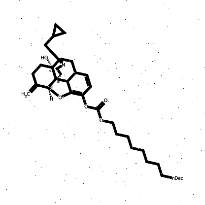 C=C1CC[C@@]2(O)C3CC4C=CC(OC(=O)OCCCCCCCCCCCCCCCCCC)=C5O[C@@H]1[C@]2(CCN3CC1CC1)C54